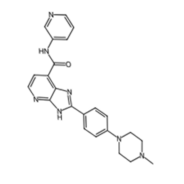 CN1CCN(c2ccc(-c3nc4c(C(=O)Nc5cccnc5)ccnc4[nH]3)cc2)CC1